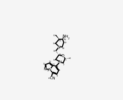 C[C@@H]1CN(c2ccc(C#N)n3nccc23)C[C@H](CN2CC[C@H](N)[C@H](C)C2)O1